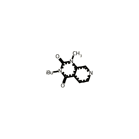 CCC(C)n1c(=O)c2ccncc2n(C)c1=O